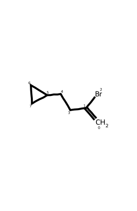 C=C(Br)CCC1CC1